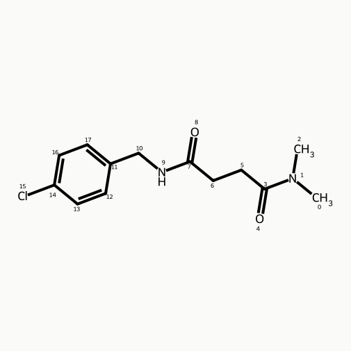 CN(C)C(=O)CCC(=O)NCc1ccc(Cl)cc1